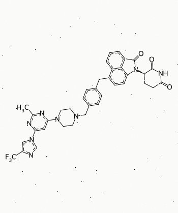 Cc1nc(N2CCN(Cc3ccc(Cc4ccc5c6c(cccc46)C(=O)N5[C@@H]4CCC(=O)NC4=O)cc3)CC2)cc(-n2cnc(C(F)(F)F)c2)n1